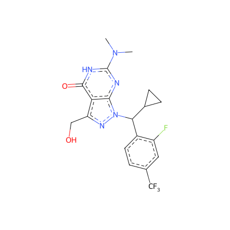 CN(C)c1nc2c(c(CO)nn2C(c2ccc(C(F)(F)F)cc2F)C2CC2)c(=O)[nH]1